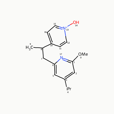 COc1cc(C(C)C)cc(CC(C)c2cc[n+](O)cc2)n1